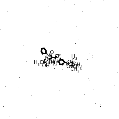 Cc1c(C(=O)Nc2ccc(B3OC(C)(C)C(C)(C)O3)cc2F)c(=O)n(-c2ccccc2)n1CC(C)(C)O